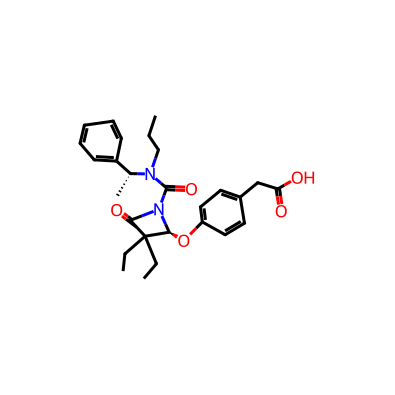 CCCN(C(=O)N1C(=O)C(CC)(CC)[C@@H]1Oc1ccc(CC(=O)O)cc1)[C@H](C)c1ccccc1